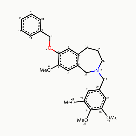 COc1cc2c(cc1OCc1ccccc1)CCCN(Cc1cc(OC)c(OC)c(OC)c1)C2